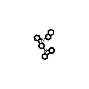 C1=Cc2cc(-n3c4ccccc4c4ccc(-n5c6ccccc6c6ccccc65)cc43)ccc2CC1